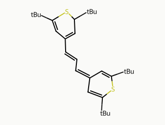 CC(C)(C)C1=CC(=CC=CC2=CC(C(C)(C)C)SC(C(C)(C)C)=C2)C=C(C(C)(C)C)S1